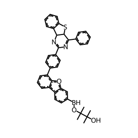 CC(C)(O)C(C)(C)OBc1ccc2c(c1)oc1c(-c3ccc(C4=NC5c6ccccc6SC5C(c5ccccc5)=N4)cc3)cccc12